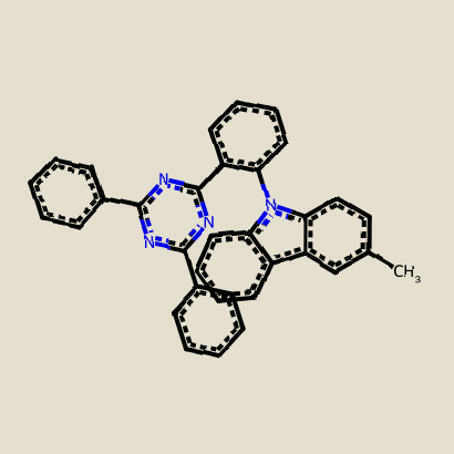 Cc1ccc2c(c1)c1ccccc1n2-c1ccccc1-c1nc(-c2ccccc2)nc(-c2ccccc2)n1